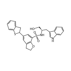 O=S(=O)(N[C@@H](CO)Cc1c[nH]c2ccccc12)c1cc(C2Cc3ccccc3S2)cc2c1OCC2